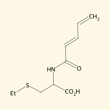 C=CC=CC(=O)NC(CSCC)C(=O)O